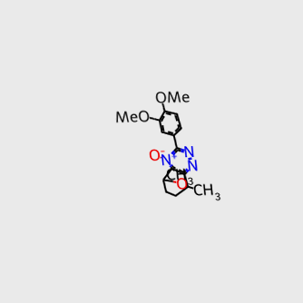 COc1ccc(-c2nnc3c([n+]2[O-])C2CCC3(C)OC2C)cc1OC